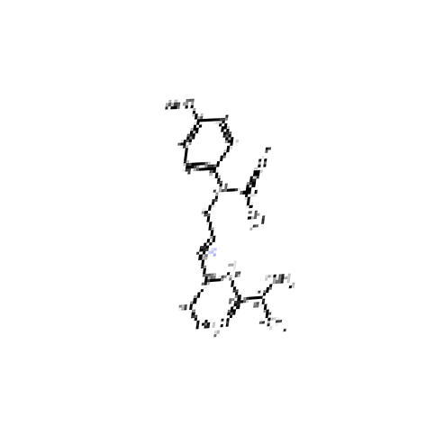 COc1ccc(N(C/C=C/[C@H](CC(C)(C)C)NC(=O)[C@H](C)N)C(=O)C(F)(F)F)cc1